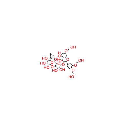 C[C@@H]1O[C@@H](O[C@H]2[C@H](O)[C@@H](O)[C@H](Oc3c(-c4ccc(OCCO)c(OCCO)c4)oc4cc(OCCO)cc(O)c4c3=O)O[C@@H]2CO)[C@H](O)[C@H](O)[C@H]1O